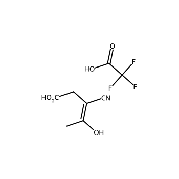 CC(O)=C(C#N)CC(=O)O.O=C(O)C(F)(F)F